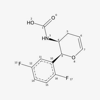 O=C(O)N[C@H]1CC=CO[C@H]1c1cc(F)ccc1F